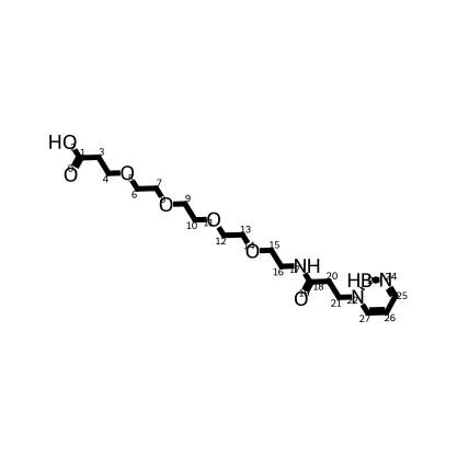 O=C(O)CCOCCOCCOCCOCCNC(=O)CCN1BN=CC=C1